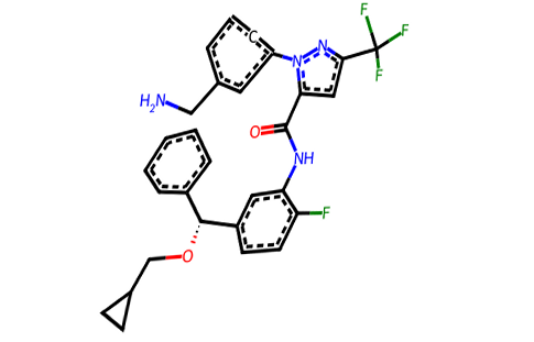 NCc1cccc(-n2nc(C(F)(F)F)cc2C(=O)Nc2cc([C@H](OCC3CC3)c3ccccc3)ccc2F)c1